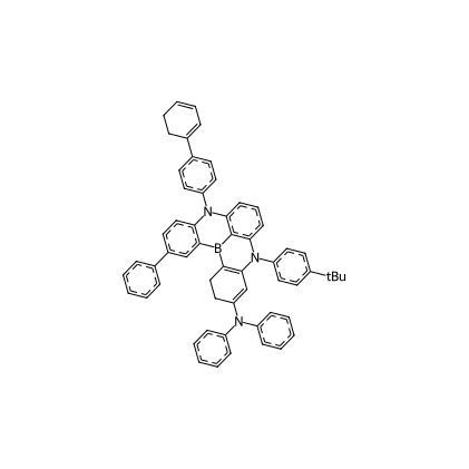 CC(C)(C)c1ccc(N2C3=C(CCC(N(c4ccccc4)c4ccccc4)=C3)B3c4cc(-c5ccccc5)ccc4N(c4ccc(C5=CC=CCC5)cc4)c4cccc2c43)cc1